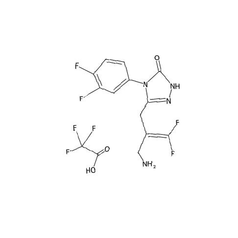 NCC(Cc1n[nH]c(=O)n1-c1ccc(F)c(F)c1)=C(F)F.O=C(O)C(F)(F)F